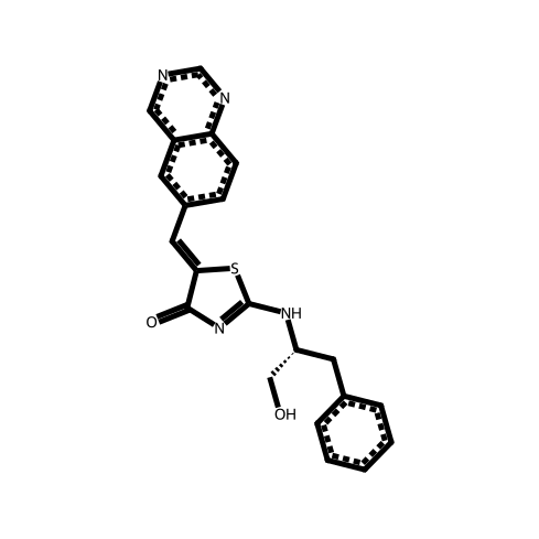 O=C1N=C(N[C@@H](CO)Cc2ccccc2)S/C1=C\c1ccc2ncncc2c1